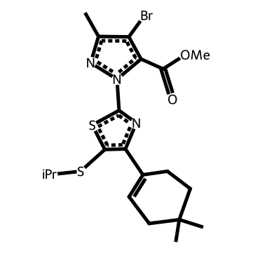 COC(=O)c1c(Br)c(C)nn1-c1nc(C2=CCC(C)(C)CC2)c(SC(C)C)s1